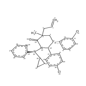 C=CCC1(C)C[C@H](c2cccc(Cl)c2)C(c2ccc(Cl)cc2)N([C@H](c2ccccn2)C2CC2)C1=O